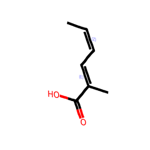 C/C=C\C=C(/C)C(=O)O